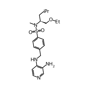 CCOC[C@H](CC(C)C)N(C)S(=O)(=O)c1ccc(CNc2ccncc2N)cc1